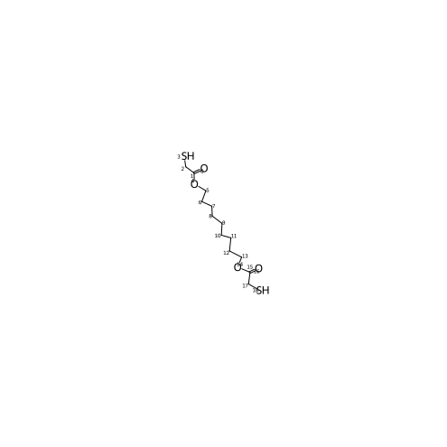 O=C(CS)OCCCCCCCCCOC(=O)CS